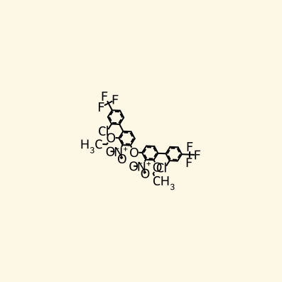 CCOc1c(-c2ccc(C(F)(F)F)cc2Cl)ccc(Oc2ccc(-c3ccc(C(F)(F)F)cc3Cl)c(OCC)c2[N+](=O)[O-])c1[N+](=O)[O-]